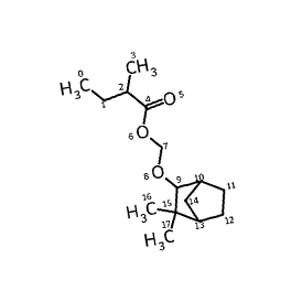 CCC(C)C(=O)OCOC1C2CCC(C2)C1(C)C